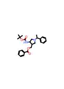 CC(c1ccccc1)N1CC(COC(=O)c2ccccc2)C(NC(=O)OC(C)(C)C)C1